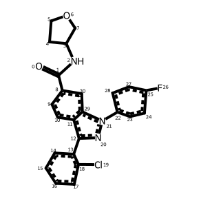 O=C(NC1CCOC1)c1ccc2c(-c3ccccc3Cl)nn(-c3ccc(F)cc3)c2c1